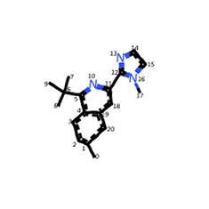 Cc1ccc2c(C(C)(C)C)nc(-c3nccn3C)cc2c1